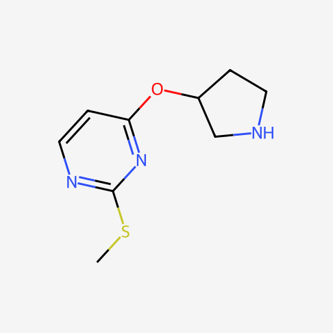 CSc1nccc(OC2CCNC2)n1